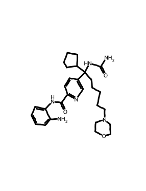 NC(=O)NC(CCCCCN1CCOCC1)(c1ccc(C(=O)Nc2ccccc2N)nc1)C1CCCC1